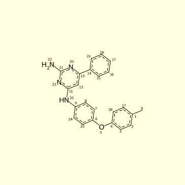 Cc1ccc(Oc2ccc(Nc3cc(-c4ccccc4)nc(N)n3)cc2)cc1